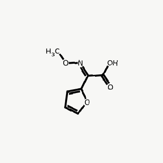 CO/N=C(/C(=O)O)c1ccco1